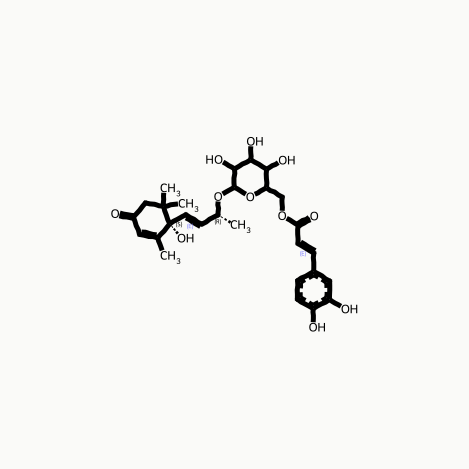 CC1=CC(=O)CC(C)(C)[C@@]1(O)/C=C/[C@@H](C)OC1OC(COC(=O)/C=C/c2ccc(O)c(O)c2)C(O)C(O)C1O